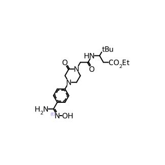 CCOC(=O)CC(NC(=O)CN1CCN(c2ccc(/C(N)=N\O)cc2)CC1=O)C(C)(C)C